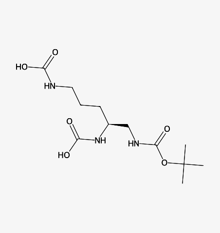 CC(C)(C)OC(=O)NC[C@H](CCCNC(=O)O)NC(=O)O